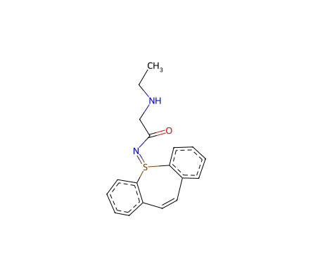 CCNCC(=O)N=S1c2ccccc2C=Cc2ccccc21